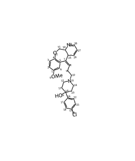 COc1ccc2c(c1)C(=CCCN1CCC(O)(c3ccc(Cl)cc3)CC1)C1C=CC=NC1CO2